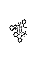 CC[C@H](NC(=O)c1cc2ccccc2n1Cc1cccc(-c2ccccc2C(=O)OC(C)(C)C)c1)c1ccccc1